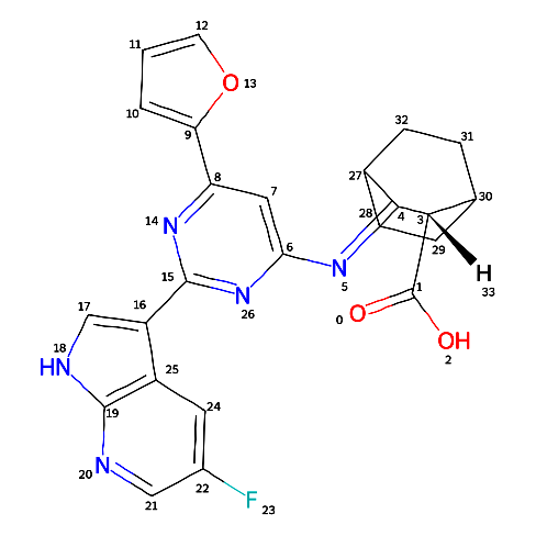 O=C(O)[C@@H]1/C(=N/c2cc(-c3ccco3)nc(-c3c[nH]c4ncc(F)cc34)n2)C2CCC1CC2